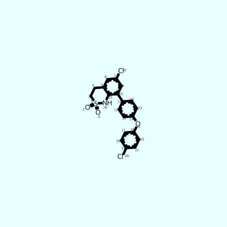 O=S1(=O)CCc2cc(Cl)cc(-c3ccc(Oc4ccc(Cl)cc4)cc3)c2N1